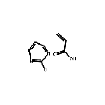 C=CC(=O)O.Clc1ncccn1